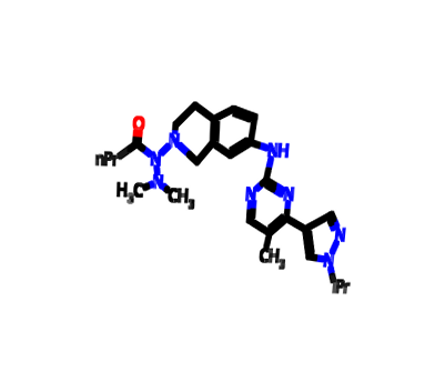 CCCC(=O)N(N(C)C)N1CCc2ccc(Nc3ncc(C)c(-c4cnn(C(C)C)c4)n3)cc2C1